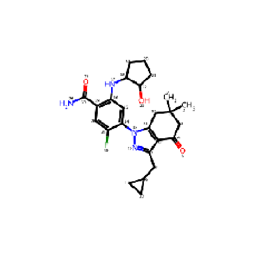 CC1(C)CC(=O)c2c(CC3CC3)nn(-c3cc(NC4CCCC4O)c(C(N)=O)cc3F)c2C1